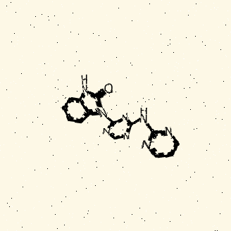 O=c1[nH]c2ccccc2n1-c1ncnc(Nc2ncccn2)n1